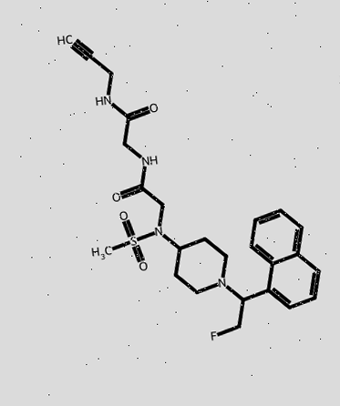 C#CCNC(=O)CNC(=O)CN(C1CCN(C(CF)c2cccc3ccccc23)CC1)S(C)(=O)=O